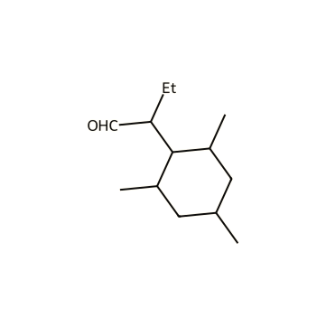 CCC(C=O)C1C(C)CC(C)CC1C